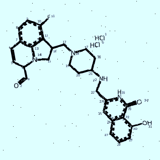 Cl.Cl.O=CC1C=Cc2ccc(F)c3c2N1CC3CN1CCC(NCc2cc3cccc(O)c3c(=O)[nH]2)CC1